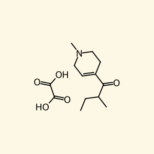 CCC(C)C(=O)C1=CCN(C)CC1.O=C(O)C(=O)O